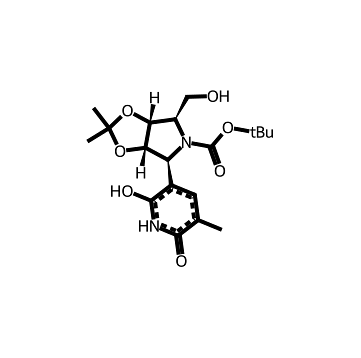 Cc1cc([C@H]2[C@@H]3OC(C)(C)O[C@@H]3[C@@H](CO)N2C(=O)OC(C)(C)C)c(O)[nH]c1=O